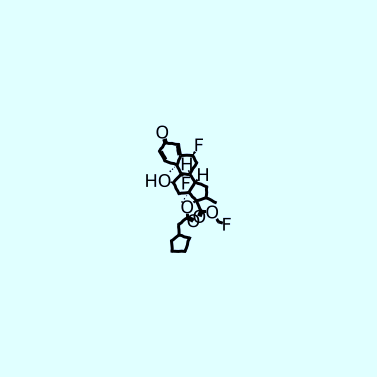 CC1C[C@H]2[C@@H]3C[C@H](F)C4=CC(=O)C=C[C@]4(C)[C@@]3(F)[C@@H](O)C[C@]2(C)[C@@]1(OC(=O)CC1CCCC1)C(=O)OCF